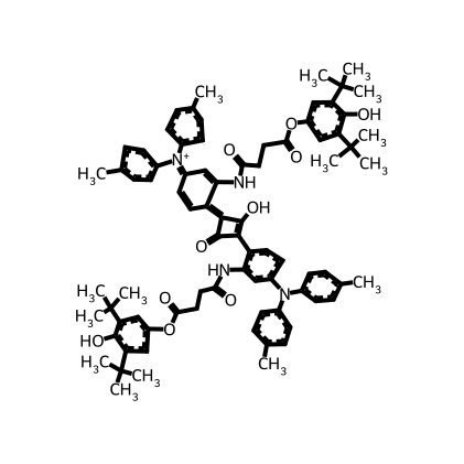 Cc1ccc(N(c2ccc(C)cc2)c2ccc(C3=C(O)/C(=C4/C=CC(=[N+](c5ccc(C)cc5)c5ccc(C)cc5)C=C4NC(=O)CCC(=O)Oc4cc(C(C)(C)C)c(O)c(C(C)(C)C)c4)C3=O)c(NC(=O)CCC(=O)Oc3cc(C(C)(C)C)c(O)c(C(C)(C)C)c3)c2)cc1